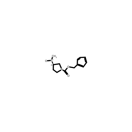 C[S+]([O-])[C@@H]1CCN(C(=O)OCc2ccccc2)C1